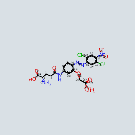 NC(CCC(=O)Nc1ccc(N=Nc2cc(Cl)c([N+](=O)[O-])cc2Cl)c(OCC(=O)O)c1)C(=O)O